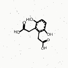 O=C(O)Cc1c(O)ccc(O)c1CC(=O)O